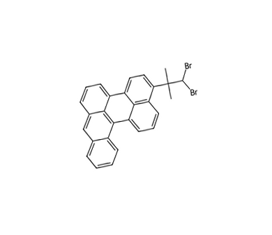 CC(C)(c1ccc2c3cccc4cc5ccccc5c(c5cccc1c25)c43)C(Br)Br